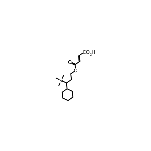 C[Si](C)(C)C(CCOC(=O)C=CC(=O)O)C1CCCCC1